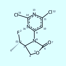 C[C@H](F)C1COC(=O)N1c1cc(Cl)nc(Cl)n1